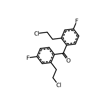 O=C(c1ccc(F)cc1CCCl)c1ccc(F)cc1CCCl